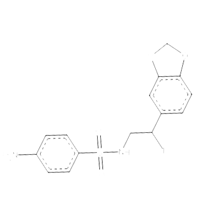 O=[N+]([O-])c1ccc(S(=O)(=O)NCC(I)c2ccc3c(c2)OCO3)cc1